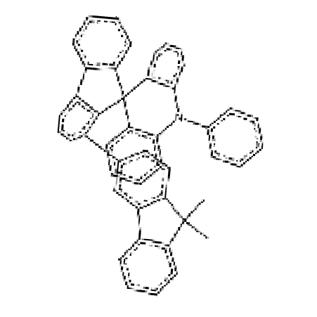 CC1(C)c2ccccc2-c2cc(-c3cccc4c3C3(c5ccccc5-4)c4ccccc4N(c4ccccc4)c4ccccc43)ccc21